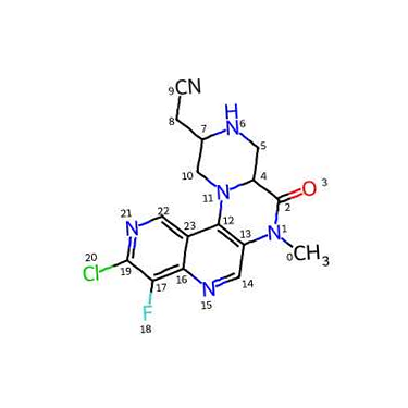 CN1C(=O)C2CNC(CC#N)CN2c2c1cnc1c(F)c(Cl)ncc21